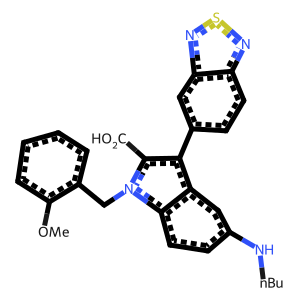 CCCCNc1ccc2c(c1)c(-c1ccc3nsnc3c1)c(C(=O)O)n2Cc1ccccc1OC